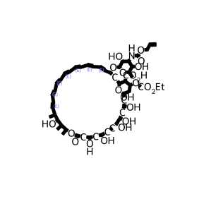 C=CCOC(=O)NC1C(O)C(C)OC(OC2/C=C/C=C/C=C/C=C/C=C/C=C/C=C/C(C)C(O)C(C)C(C)OC(=O)CC(O)CC(O)CCC(O)C(O)CC(O)CC3(O)CC(OC(=O)OCC)C(C(=O)O)C(C2)O3)C1O